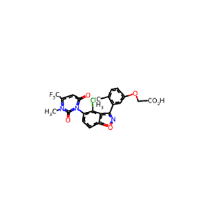 Cc1ccc(OCC(=O)O)cc1-c1noc2ccc(-n3c(=O)cc(C(F)(F)F)n(C)c3=O)c(Cl)c12